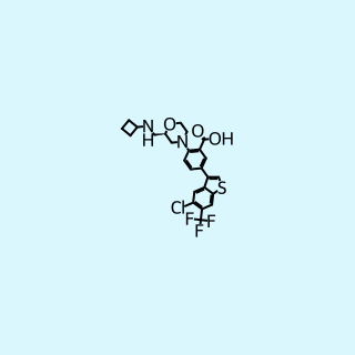 O=C(O)c1cc(-c2csc3cc(C(F)(F)F)c(Cl)cc23)ccc1N1CCO[C@H](CNC2CCC2)C1